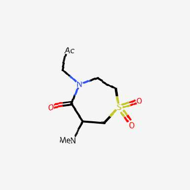 CNC1CS(=O)(=O)CCN(CC(C)=O)C1=O